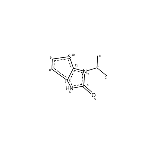 CC(C)n1c(=O)[nH]c2ccsc21